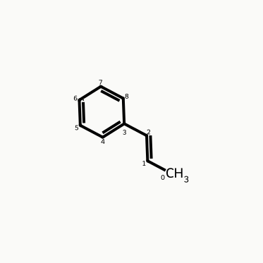 CC=Cc1cc[c]cc1